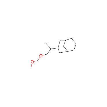 COCOCC(C)C1CC2CCCC(C2)C1